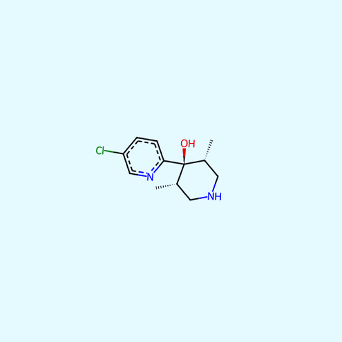 C[C@@H]1CNC[C@H](C)[C@]1(O)c1ccc(Cl)cn1